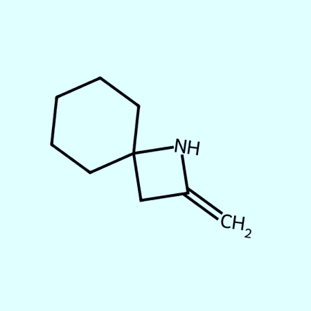 C=C1CC2(CCCCC2)N1